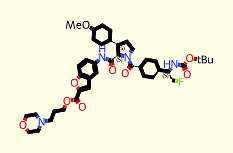 COC1CCC([C@@H]2CCN(C(=O)[C@H]3CC[C@H]([C@@H](CF)NC(=O)OC(C)(C)C)CC3)[C@@H]2C(=O)Nc2ccc3oc(C(=O)OCCCN4CCOCC4)cc3c2)CC1